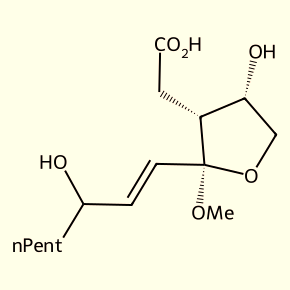 CCCCCC(O)C=C[C@]1(OC)OC[C@@H](O)[C@H]1CC(=O)O